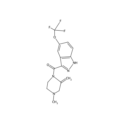 C=C1CN(C)CCN1C(=O)c1n[nH]c2ccc(OC(F)(F)F)cc12